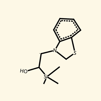 C[Si](C)(C)C(O)[CH]N1CSc2ccccc21